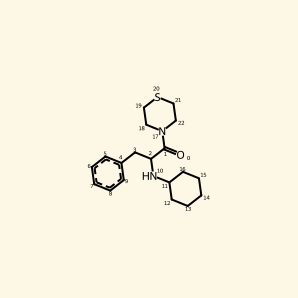 O=C(C(Cc1ccccc1)NC1CCCCC1)N1CCSCC1